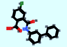 O=C(O)c1ccc(Cl)cc1C(=O)Nc1cccc(-c2ccccc2)c1